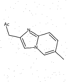 CC(=O)Cc1cn2cc(C)ccc2n1